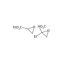 CCC1(C(=O)O)CO1.CCOC(=O)C1CO1